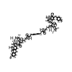 C[C@@H](N)C(=O)N[C@@H](CCCCNC(=O)CCC#CC#CCCC(=O)NCCCC[C@H](NC(=O)[C@@H](C)N)C(=O)N1CC(C)(C)c2[nH]c(=O)c(Cc3ccc(F)cc3)cc21)C(=O)N1CC(C)(C)c2[nH]c(=O)c(Cc3ccc(F)cc3)cc21